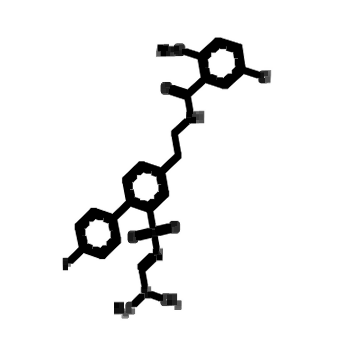 COc1ccc(Cl)cc1C(=O)NCCc1ccc(-c2ccc(F)cc2)c(S(=O)(=O)N=CN(C)C)c1